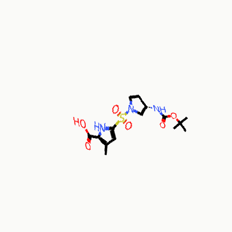 Cc1cc(S(=O)(=O)N2CC[C@H](NC(=O)OC(C)(C)C)C2)[nH]c1C(=O)O